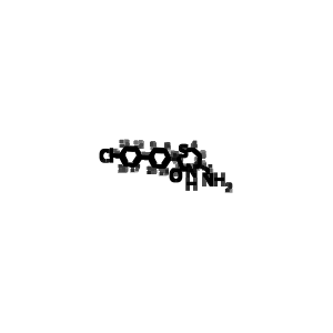 NC[C@@H]1CCS[C@H](c2ccc(-c3ccc(Cl)cc3)cc2)C(=O)N1